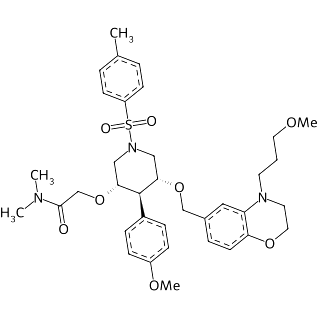 COCCCN1CCOc2ccc(CO[C@H]3CN(S(=O)(=O)c4ccc(C)cc4)C[C@@H](OCC(=O)N(C)C)[C@@H]3c3ccc(OC)cc3)cc21